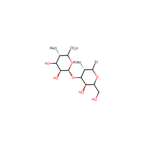 CCC1OC(CO)[C@@H](O)C(O[C@@H]2OC(C(=O)O)[C@@H](OC)C(O)[C@@H]2O)[C@@H]1NC(C)=O